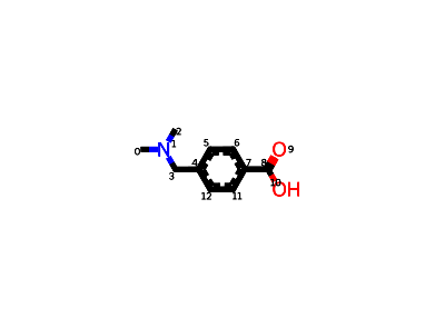 CN(C)Cc1ccc(C(=O)O)cc1